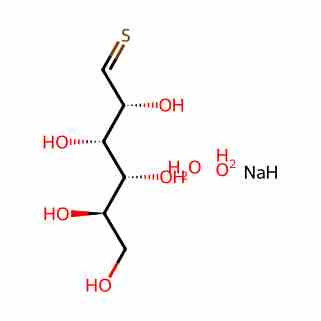 O.O.OC[C@@H](O)[C@@H](O)[C@H](O)[C@@H](O)C=S.[NaH]